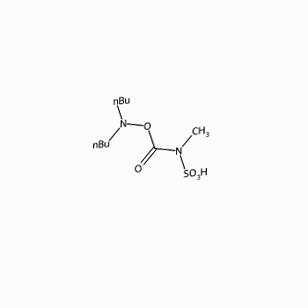 CCCCN(CCCC)OC(=O)N(C)S(=O)(=O)O